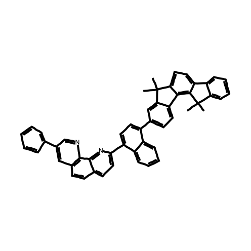 CC1(C)c2cc(-c3ccc(-c4ccc5ccc6cc(-c7ccccc7)cnc6c5n4)c4ccccc34)ccc2-c2c1ccc1c2C(C)(C)c2ccccc2-1